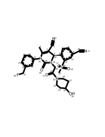 CC1=C(C#N)[C@@H](c2ccc(C#N)cc2S(C)(=O)=O)N(CC(=O)N2CCC(O)CC2)C(=O)N1c1cccc(CF)c1